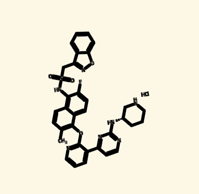 Cc1ccc2c(NS(=O)(=O)Cc3noc4ccccc34)c(F)ccc2c1Oc1ncccc1-c1ccnc(N[C@H]2CCCNC2)n1.Cl